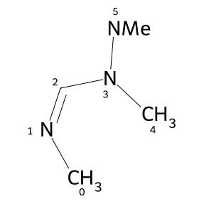 C/N=C\N(C)NC